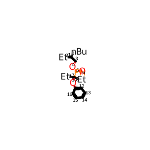 CCCCC(CC)CO[PH](=O)C(CC)(CC)Oc1ccccc1